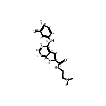 CN(C)CCNC(=O)c1cc2c(Nc3ccc(F)c(Cl)c3)ncnc2s1